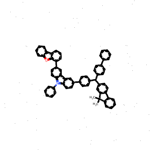 CC1(C)c2ccccc2-c2ccc(C(c3ccc(-c4ccccc4)cc3)c3ccc(-c4ccc5c(c4)c4cc(-c6cccc7c6oc6ccccc67)ccc4n5-c4ccccc4)cc3)cc21